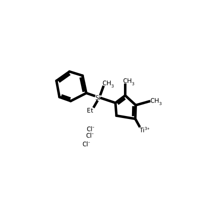 CC[Si](C)(C1=C(C)C(C)=[C]([Ti+3])C1)c1ccccc1.[Cl-].[Cl-].[Cl-]